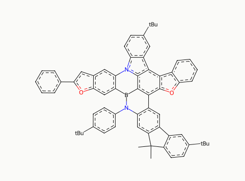 CC(C)(C)c1ccc(N2B3c4cc5oc(-c6ccccc6)cc5cc4-n4c5ccc(C(C)(C)C)cc5c5c6c(oc7ccccc76)c(c3c54)-c3cc4c(cc32)C(C)(C)c2ccc(C(C)(C)C)cc2-4)cc1